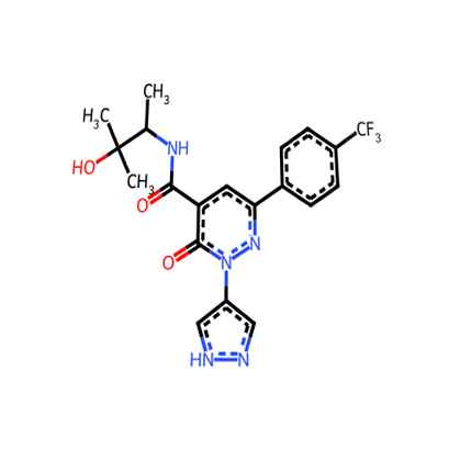 CC(NC(=O)c1cc(-c2ccc(C(F)(F)F)cc2)nn(-c2cn[nH]c2)c1=O)C(C)(C)O